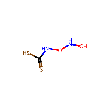 ONONC(=S)S